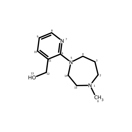 CN1CCCN(c2ncccc2CO)CC1